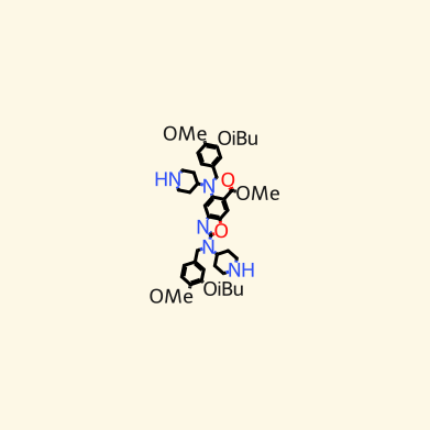 COC(=O)c1cc2oc(N(Cc3ccc(OC)c(OCC(C)C)c3)C3CCNCC3)nc2cc1N(Cc1ccc(OC)c(OCC(C)C)c1)C1CCNCC1